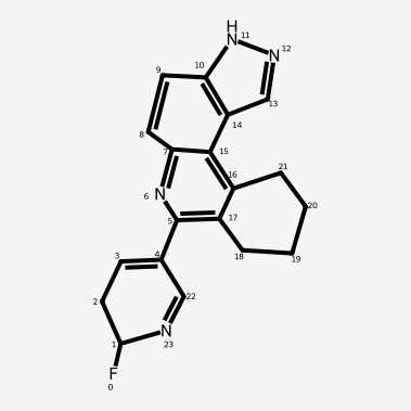 FC1CC=C(c2nc3ccc4[nH]ncc4c3c3c2CCCC3)C=N1